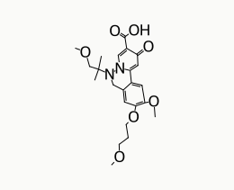 COCCCOc1cc2c(cc1OC)-c1cc(=O)c(C(=O)O)cn1N(C(C)(C)COC)C2